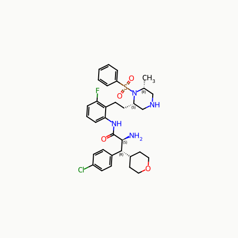 C[C@@H]1CNC[C@H](CCc2c(F)cccc2NC(=O)[C@@H](N)[C@@H](c2ccc(Cl)cc2)C2CCOCC2)N1S(=O)(=O)c1ccccc1